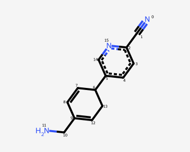 N#Cc1ccc(C2C=CC(CN)=CC2)cn1